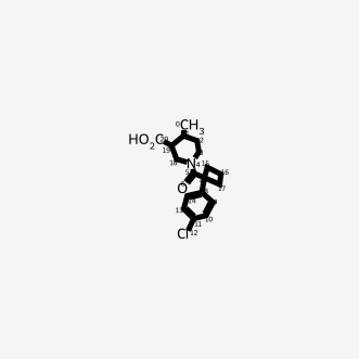 CC1CCN(C(=O)C2(c3ccc(Cl)cc3)CCC2)CC1C(=O)O